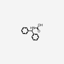 O=C(O)N[C](c1ccccc1)c1ccccc1